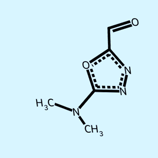 CN(C)c1nnc(C=O)o1